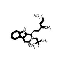 C=C(/C=C/C(=O)O)CC[C@@H]1c2[nH]c3ccccc3c2C[C@@H](C)N1CC(C)(C)F